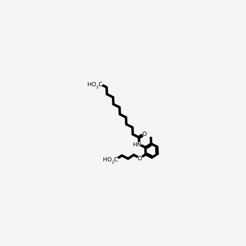 Cc1cccc(OCCCC(=O)O)c1NC(=O)CCCCCCCCCCC(=O)O